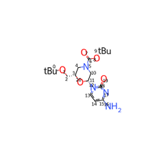 CC(C)(C)OC[C@@H]1CN(C(=O)OC(C)(C)C)C[C@H](n2ccc(N)nc2=O)O1